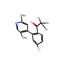 [2H]C([2H])([2H])C(=O)c1ccc(Cl)cc1-c1cc(OC)ncc1OC